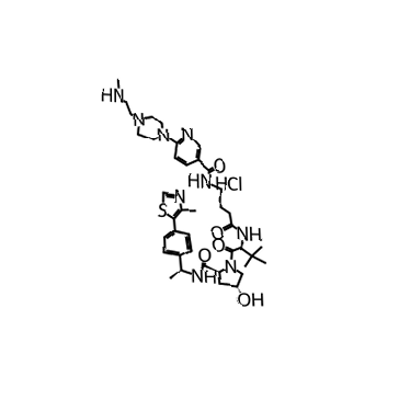 CNCCN1CCN(c2ccc(C(=O)NCCCC(=O)N[C@H](C(=O)N3C[C@H](O)C[C@H]3C(=O)N[C@@H](C)c3ccc(-c4scnc4C)cc3)C(C)(C)C)cn2)CC1.Cl